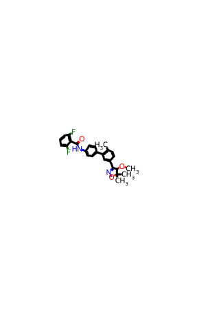 COC1C(c2ccc(C)c(-c3ccc(NC(=O)c4c(F)cccc4F)cc3)c2)=NOC1(C)C